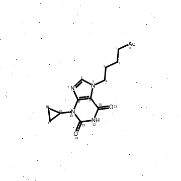 CC(=O)CCCCn1cnc2c1c(=O)[nH]c(=O)n2C1CC1